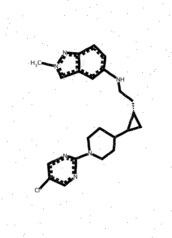 Cn1cc2cc(NCC[C@@H]3CC3C3CCN(c4ncc(Cl)cn4)CC3)ccc2n1